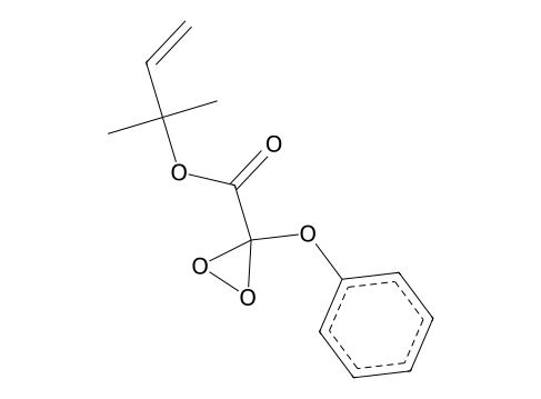 C=CC(C)(C)OC(=O)C1(Oc2ccccc2)OO1